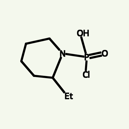 CCC1CCCCN1P(=O)(O)Cl